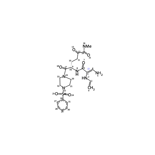 C=CN/C(=C\N)C(=O)N[C@@H](CCC(=O)C(=O)NC)C(=O)N1CCN(S(=O)(=O)c2ccccc2)CC1